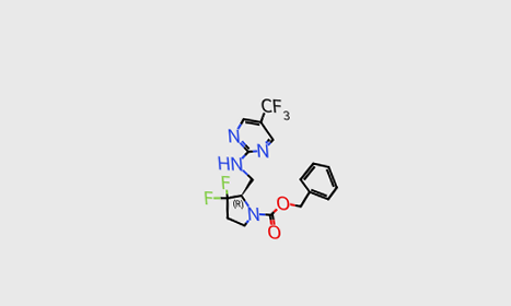 O=C(OCc1ccccc1)N1CCC(F)(F)[C@H]1CNc1ncc(C(F)(F)F)cn1